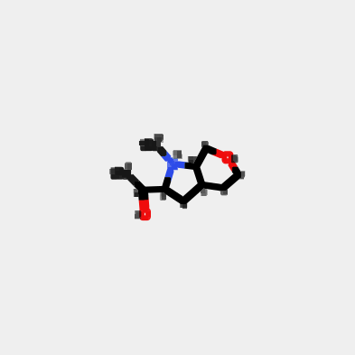 CC(C)(C)C(=O)C1CC2CCOCC2N1C(C)(C)C